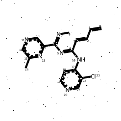 C=C/C=C/C(=N\C(=N/C)c1cncc(C)n1)Nc1ccncc1Cl